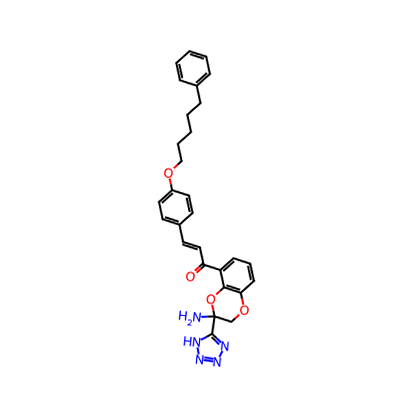 NC1(c2nnn[nH]2)COc2cccc(C(=O)C=Cc3ccc(OCCCCCc4ccccc4)cc3)c2O1